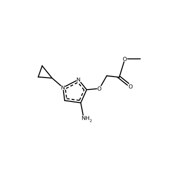 COC(=O)COc1nn(C2CC2)cc1N